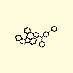 c1ccc(-c2ccc(N(c3ccccc3)c3ccc(-c4ccccc4-n4c5ccccc5c5ccc6ccccc6c54)cc3)cc2)cc1